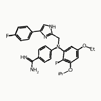 CCOc1cc(OC(C)C)c(F)c(N(Cc2nc(-c3ccc(F)cc3)c[nH]2)c2ccc(C(=N)N)cc2)c1